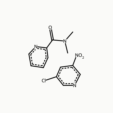 CN(C)C(=O)c1ccccn1.O=[N+]([O-])c1cncc(Cl)c1